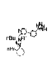 CCCCC1=CN(C2CCCCCC2CCC)C[N+]1([O-])Cc1cc(-c2cccc(-c3nnn[nH]3)c2)ccn1